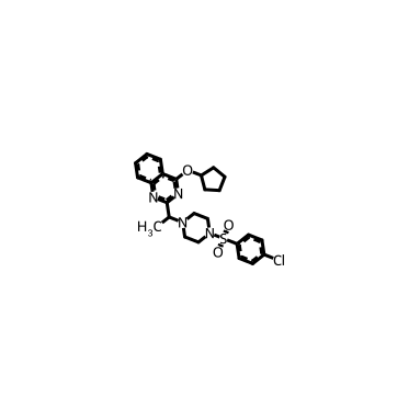 CC(c1nc(OC2CCCC2)c2ccccc2n1)N1CCN(S(=O)(=O)c2ccc(Cl)cc2)CC1